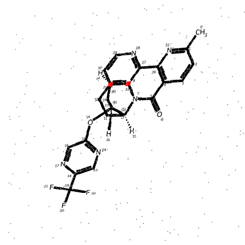 Cc1ccc(C(=O)N2C[C@@H]3CC[C@H]2[C@H](Oc2cnc(C(F)(F)F)cn2)C3)c(-c2ncccn2)n1